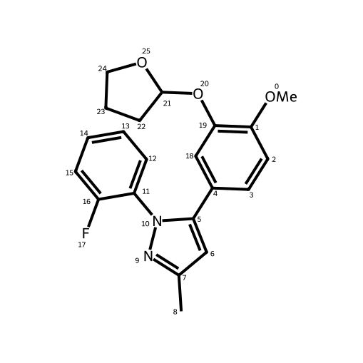 COc1ccc(-c2cc(C)nn2-c2ccccc2F)cc1OC1CCCO1